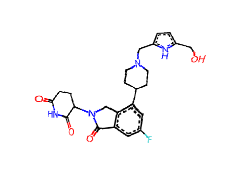 O=C1CCC(N2Cc3c(cc(F)cc3C3CCN(Cc4ccc(CO)[nH]4)CC3)C2=O)C(=O)N1